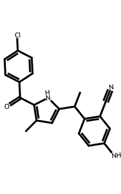 Cc1cc(C(C)c2ccc(N)cc2C#N)[nH]c1C(=O)c1ccc(Cl)cc1